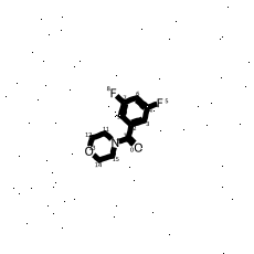 O=C(c1cc(F)cc(F)c1)N1CCOCC1